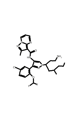 CCCC(C)CC(CCN)n1cc(NC(=O)c2c(C)nn3cccnc23)c(-c2cc(Cl)ccc2OC(F)F)n1